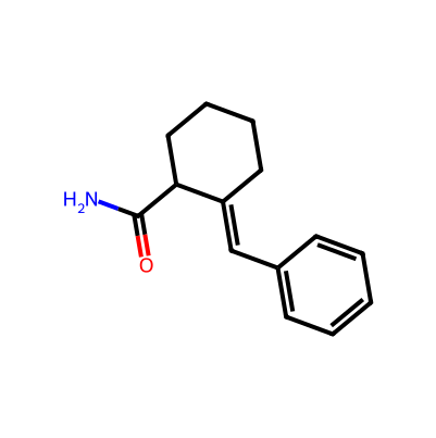 NC(=O)C1CCCCC1=Cc1ccccc1